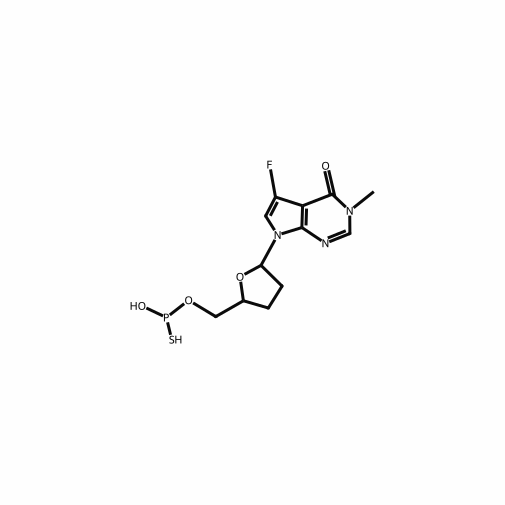 Cn1cnc2c(c(F)cn2C2CCC(COP(O)S)O2)c1=O